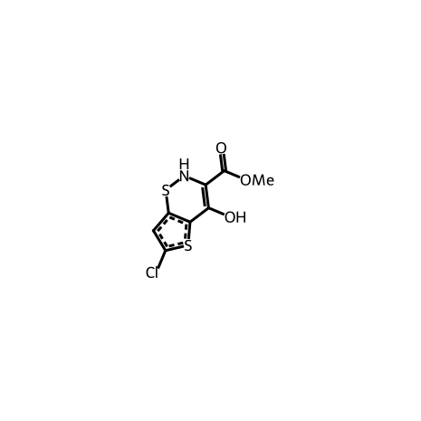 COC(=O)C1=C(O)c2sc(Cl)cc2SN1